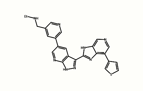 CCNCc1cncc(-c2cnc3[nH]nc(-c4nc5c(-c6ccsc6)cncc5[nH]4)c3c2)c1